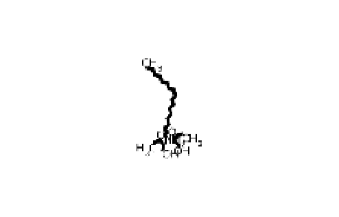 CCCCCCCC/C=C\CCCCCCCC(N)(OC(CC)CCO)OC(CC)CCO